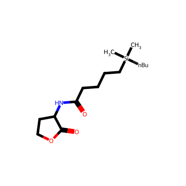 CCCC[Si](C)(C)CCCCC(=O)NC1CCOC1=O